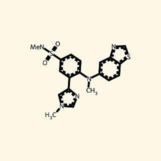 CNS(=O)(=O)c1ccc(N(C)c2ccc3scnc3c2)c(-c2cn(C)cn2)c1